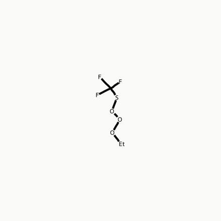 CCOOOSC(F)(F)F